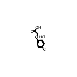 Cl.O=C(O)COc1ccc(Cl)cc1